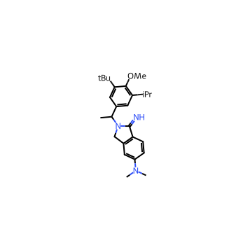 COc1c(C(C)C)cc(C(C)N2Cc3cc(N(C)C)ccc3C2=N)cc1C(C)(C)C